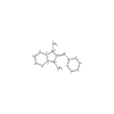 Cn1c(=Nc2ccccc2)n(C)c2ccccc21